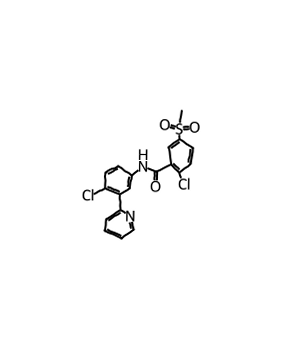 CS(=O)(=O)c1ccc(Cl)c(C(=O)Nc2ccc(Cl)c(-c3ccccn3)c2)c1